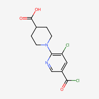 O=C(Cl)c1cnc(N2CCC(C(=O)O)CC2)c(Cl)c1